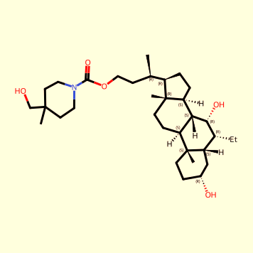 CC[C@H]1[C@@H](O)[C@@H]2[C@H](CC[C@]3(C)[C@@H]([C@H](C)CCOC(=O)N4CCC(C)(CO)CC4)CC[C@@H]23)[C@@]2(C)CC[C@@H](O)C[C@@H]12